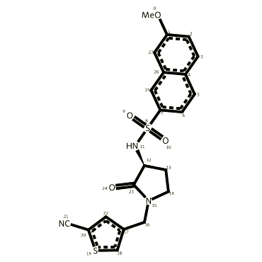 COc1ccc2ccc(S(=O)(=O)N[C@H]3CCN(Cc4csc(C#N)c4)C3=O)cc2c1